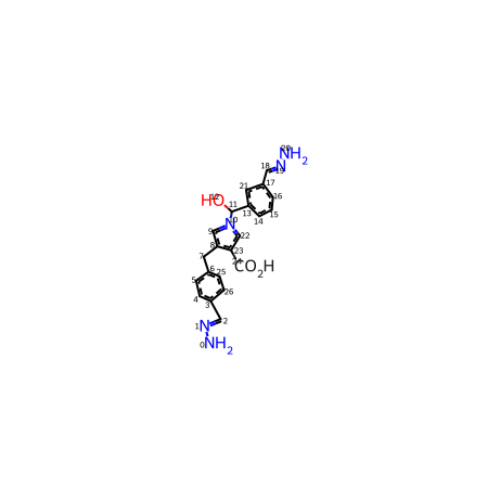 NN=Cc1ccc(Cc2cn(C(O)c3cccc(C=NN)c3)cc2C(=O)O)cc1